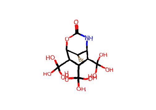 O=C1NC2C(Br)C(O1)C(C(O)(O)O)C(C(O)(O)O)C2C(O)(O)O